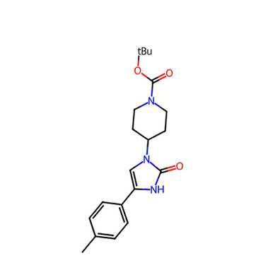 Cc1ccc(-c2cn(C3CCN(C(=O)OC(C)(C)C)CC3)c(=O)[nH]2)cc1